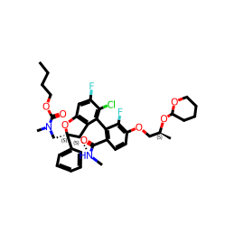 CCCCOC(=O)N(C)C[C@]1(c2ccccc2)Oc2cc(F)c(Cl)c(-c3c(C(=O)NC)ccc(OC[C@H](C)OC4CCCCO4)c3F)c2[C@@H]1C